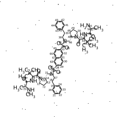 CN[C@@H](C)C(=O)N[C@H](C(=O)N1CCC[C@H]1CN(CCc1ccccc1)S(=O)(=O)c1ccc2cc(S(=O)(=O)N(CCc3ccccc3)C[C@@H]3CCCN3C(=O)[C@@H](NC(=O)[C@H](C)N)C(C)(C)C)ccc2c1)C(C)(C)C